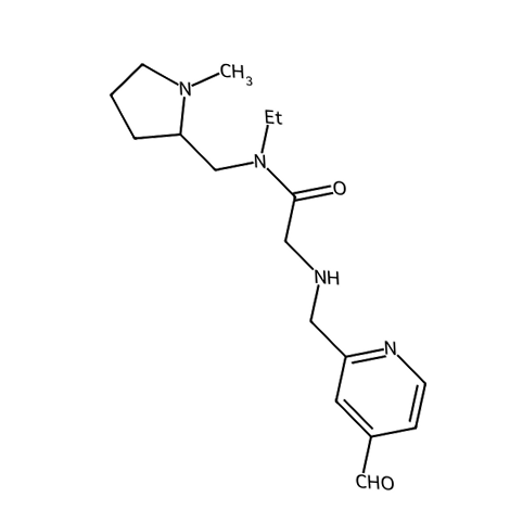 CCN(CC1CCCN1C)C(=O)CNCc1cc(C=O)ccn1